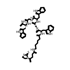 C=C(CCC(=C)N1CCSC1=S)NCCCCCC(=C)NC(Cc1c[nH]c2ccccc12)C(=C)NCC(=C)NC(Cc1c[nH]c2ccccc12)C(=C)NCC(=C)N[C@H](Cc1c[nH]c2ccccc12)C(=C)N